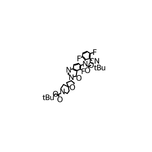 CC(C)(C)OC(=O)N1CCC2(CC1)C[C@H](n1cnc3ccc(N(C(=O)OC(C)(C)C)c4c(F)ccc(F)c4C#N)c(F)c3c1=O)CO2